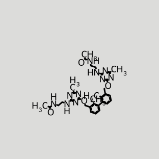 CC(=O)NCCNc1nc(C)nc(OCc2cccc(-c3cccc(COc4nc(C)nc(NCCNC(C)=O)n4)c3C)c2C)n1